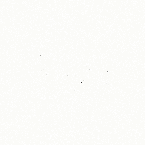 N#Cc1ccc(O[C@H]2CC[C@H](N3CCC4=NCCC=C4C3=O)CC2)cc1C(F)(F)F